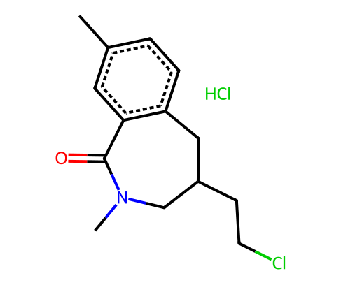 Cc1ccc2c(c1)C(=O)N(C)CC(CCCl)C2.Cl